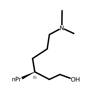 CCC[C@H](CCO)CCCN(C)C